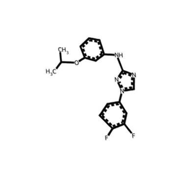 CC(C)Oc1cccc(Nc2ncn(-c3ccc(F)c(F)c3)n2)c1